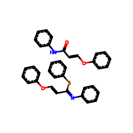 C(=CC(=Nc1ccccc1)Sc1ccccc1)Oc1ccccc1.O=C(C=COc1ccccc1)Nc1ccccc1